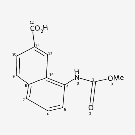 COC(=O)Nc1cccc2ccc(C(=O)O)cc12